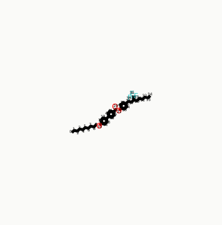 CCCCCCCCCCOc1ccc(-c2ccc(C(=O)Oc3ccc(CCC(CCCCCC)C(F)(F)F)cc3)cc2)cc1